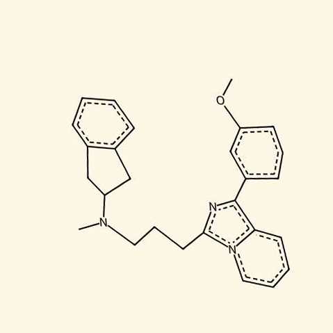 COc1cccc(-c2nc(CCCN(C)C3Cc4ccccc4C3)n3ccccc23)c1